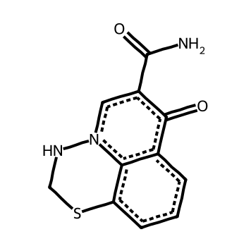 NC(=O)c1cn2c3c(cccc3c1=O)SCN2